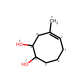 CC1=CCCCC(O)C(O)C1